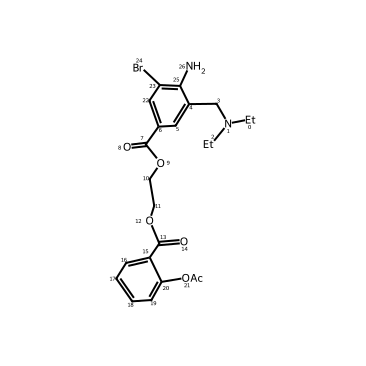 CCN(CC)Cc1cc(C(=O)OCCOC(=O)c2ccccc2OC(C)=O)cc(Br)c1N